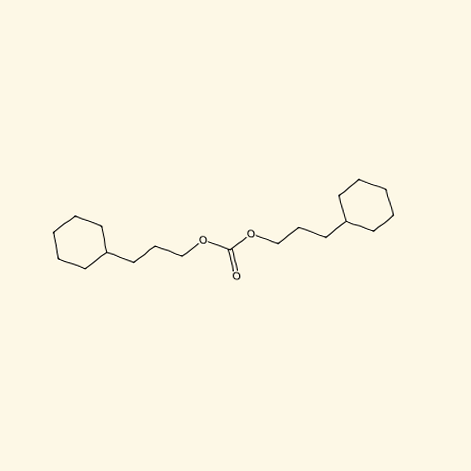 O=C(OCCCC1CCCCC1)OCCCC1CCCCC1